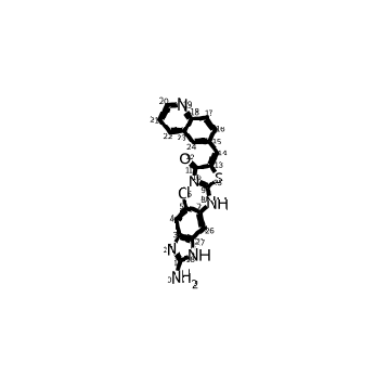 Nc1nc2cc(Cl)c(NC3=NC(=O)C(=Cc4ccc5ncccc5c4)S3)cc2[nH]1